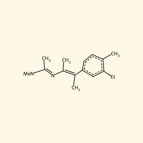 CCc1cc(/C(C)=C(C)/N=C(\C)NC)ccc1C